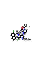 C#Cc1c(F)ccc2cccc(-c3ncc4c(N5[C@@H]6CCN(C(=O)C=C)[C@@H]6[C@@H]5C)cc(OC)nc4c3F)c12